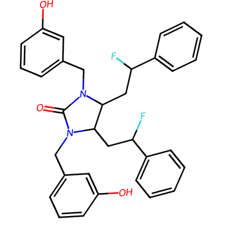 O=C1N(Cc2cccc(O)c2)C(CC(F)c2ccccc2)C(CC(F)c2ccccc2)N1Cc1cccc(O)c1